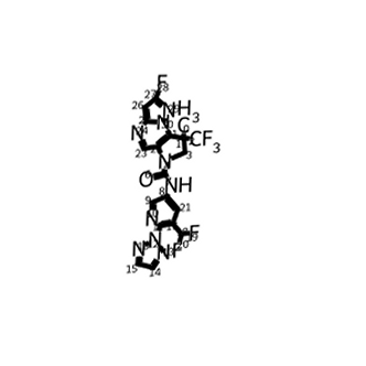 CC1(C(F)(F)F)CN(C(=O)Nc2cnc(-n3nccn3)c(C(F)F)c2)c2cnc3cc(F)nn3c21